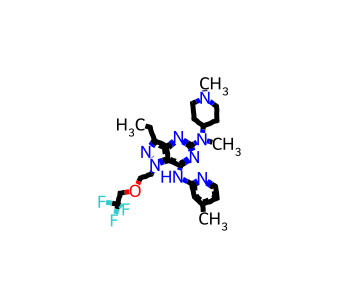 CCc1nn(CCOCC(F)(F)F)c2c(Nc3cc(C)ccn3)nc(N(C)C3CCN(C)CC3)nc12